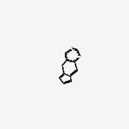 C1=CC2=Cc3ncncc3CC2=C1